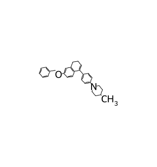 CC1CCN(c2ccc(C3=CCCc4cc(OCc5ccccc5)ccc43)cc2)CC1